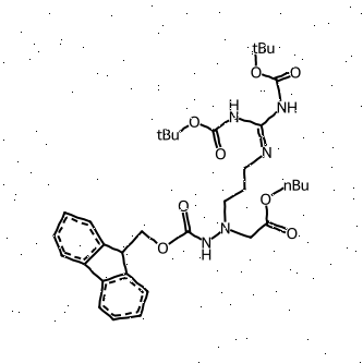 CCCCOC(=O)CN(CCCN=C(NC(=O)OC(C)(C)C)NC(=O)OC(C)(C)C)NC(=O)OCC1c2ccccc2-c2ccccc21